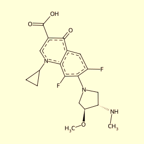 CN[C@H]1CN(c2c(F)cc3c(=O)c(C(=O)O)cn(C4CC4)c3c2F)C[C@@H]1OC